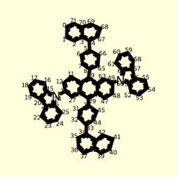 c1ccc2c(-c3ccc(-c4c5ccc(-n6c7ccccc7c7ccccc76)cc5c(-c5ccc(-c6cccc7ccccc67)cc5)c5ccc(-n6c7ccccc7c7ccccc76)cc45)cc3)cccc2c1